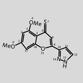 COc1cc(OC)c2c(=S)cc(-c3cc[nH]n3)oc2c1